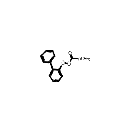 CCCCCCCCCCC(=O)OOc1ccccc1-c1ccccc1